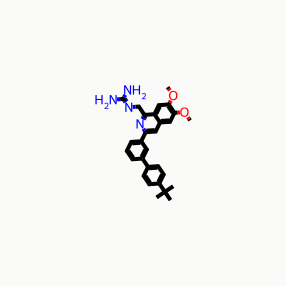 COc1cc2cc(-c3cccc(-c4ccc(C(C)(C)C)cc4)c3)nc(CN=C(N)N)c2cc1OC